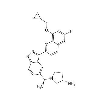 N[C@H]1CCN([C@H](c2ccc3nnc(-c4ccc5cc(F)cc(OCC6CC6)c5n4)n3c2)C(F)(F)F)C1